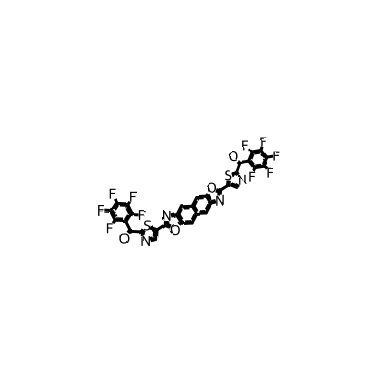 O=C(c1ncc(-c2nc3cc4cc5oc(-c6cnc(C(=O)c7c(F)c(F)c(F)c(F)c7F)s6)nc5cc4cc3o2)s1)c1c(F)c(F)c(F)c(F)c1F